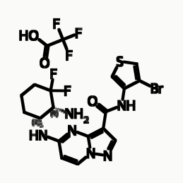 N[C@@H]1[C@H](Nc2ccn3ncc(C(=O)Nc4cscc4Br)c3n2)CCCC1(F)F.O=C(O)C(F)(F)F